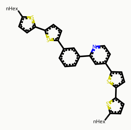 CCCCCCc1ccc(-c2ccc(-c3cccc(-c4cc(-c5ccc(-c6ccc(CCCCCC)s6)s5)ccn4)c3)s2)s1